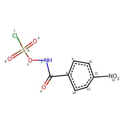 O=C(NOS(=O)(=O)Cl)c1ccc([N+](=O)[O-])cc1